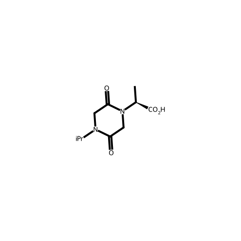 CC(C)N1CC(=O)N([C@@H](C)C(=O)O)CC1=O